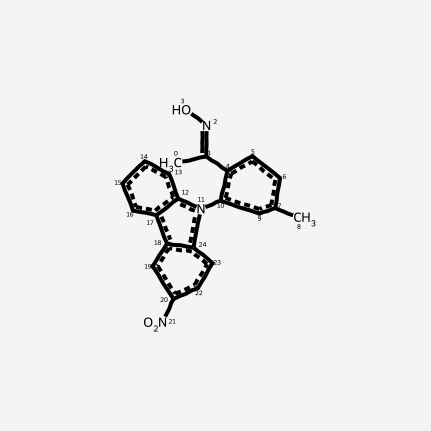 C/C(=N\O)c1ccc(C)cc1-n1c2ccccc2c2cc([N+](=O)[O-])ccc21